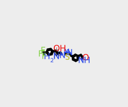 N[C@H](CNc1nnc(-c2ccc3c(c2)CC(=O)N3)s1)[C@@H](O)c1ccc(C(F)(F)F)cc1